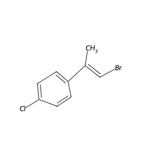 C/C(=C\Br)c1ccc(Cl)cc1